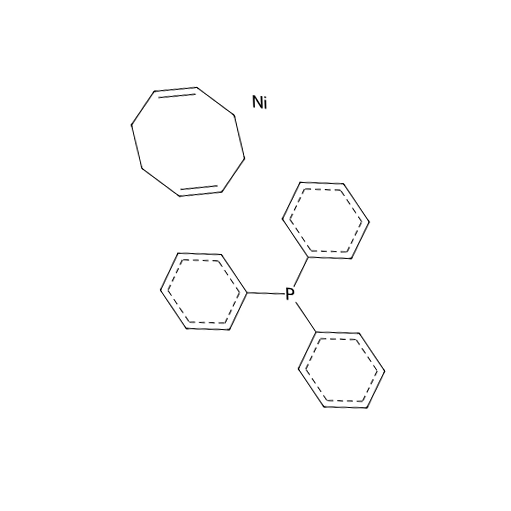 C1=CCCC=CCC1.[Ni].c1ccc(P(c2ccccc2)c2ccccc2)cc1